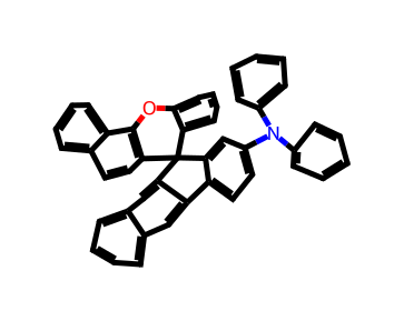 c1ccc(N(c2ccccc2)c2ccc3c(c2)C2(c4ccccc4Oc4c2ccc2ccccc42)c2cc4ccccc4cc2-3)cc1